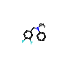 CN(Cc1ccc(F)c(F)c1)c1cc[c]cc1